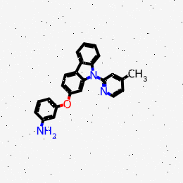 Cc1ccnc(-n2c3ccccc3c3ccc(Oc4cccc(N)c4)cc32)c1